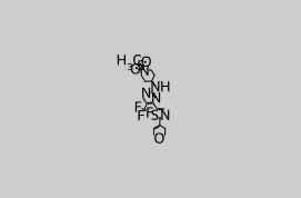 CS(=O)(=O)N1CCC(Nc2ncc(C(F)(F)F)c(-c3cnc(C4=CCOCC4)s3)n2)CC1